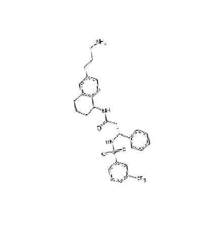 NCCCc1ccc2c(c1)CCCC2NC(=O)C[C@@H](NS(=O)(=O)c1cccc(C(F)(F)F)c1)c1ccccc1